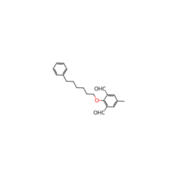 Cc1cc(C=O)c(OCCCCCCc2ccccc2)c(C=O)c1